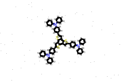 c1ccc(N(c2ccccc2)c2ccc(-c3cc4c(s3)c3cc(-c5ccc(N(c6ccccc6)c6ccccc6)cc5)sc3c3cc(-c5ccc(N(c6ccccc6)c6ccccc6)cc5)sc43)cc2)cc1